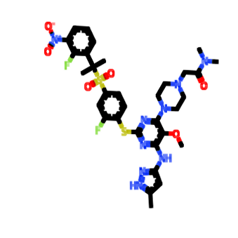 COc1c(Nc2cc(C)[nH]n2)nc(Sc2ccc(S(=O)(=O)C(C)(C)c3cccc([N+](=O)[O-])c3F)cc2F)nc1N1CCN(CC(=O)N(C)C)CC1